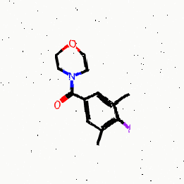 Cc1cc(C(=O)N2CCOCC2)cc(C)c1I